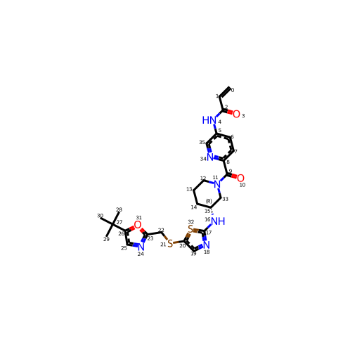 C=CC(=O)Nc1ccc(C(=O)N2CCC[C@@H](Nc3ncc(SCc4ncc(C(C)(C)C)o4)s3)C2)nc1